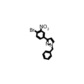 O=[N+]([O-])c1cc(-c2ccn(Cc3ccccc3)n2)ccc1Br